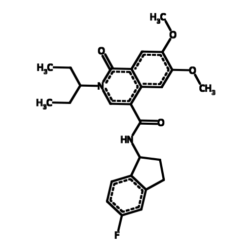 CCC(CC)n1cc(C(=O)NC2CCc3cc(F)ccc32)c2cc(OC)c(OC)cc2c1=O